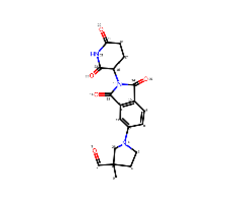 CC1(C=O)CCN(c2ccc3c(c2)C(=O)N(C2CCC(=O)NC2=O)C3=O)C1